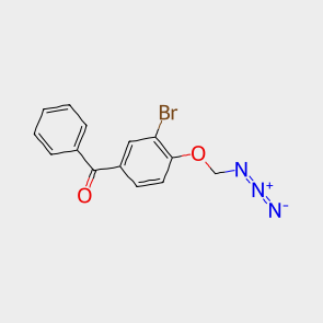 [N-]=[N+]=NCOc1ccc(C(=O)c2ccccc2)cc1Br